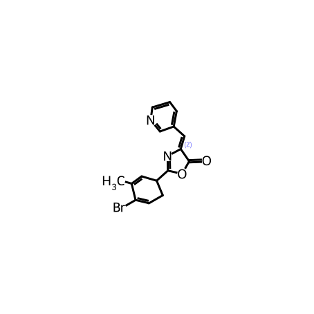 CC1=CC(C2=N/C(=C\c3cccnc3)C(=O)O2)CC=C1Br